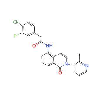 Cc1ncccc1-n1ccc2c(NC(=O)Cc3ccc(Cl)c(F)c3)cccc2c1=O